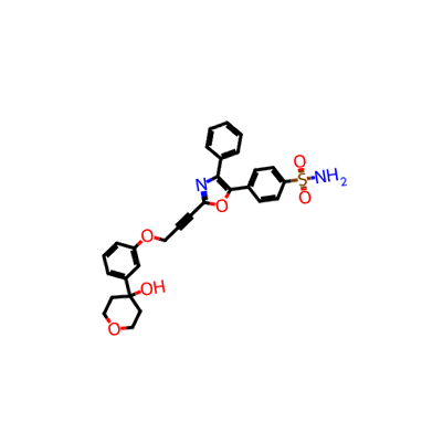 NS(=O)(=O)c1ccc(-c2oc(C#CCOc3cccc(C4(O)CCOCC4)c3)nc2-c2ccccc2)cc1